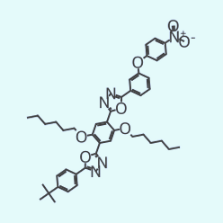 CCCCCCOc1cc(-c2nnc(-c3cccc(Oc4ccc([N+](=O)[O-])cc4)c3)o2)c(OCCCCCC)cc1-c1nnc(-c2ccc(C(C)(C)C)cc2)o1